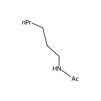 [CH2]CCCCCNC(C)=O